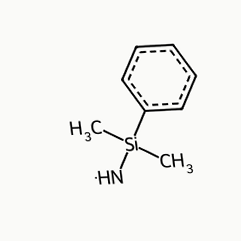 C[Si](C)([NH])c1ccccc1